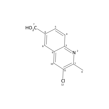 Cc1nc2ccc(C(=O)O)cc2cc1Cl